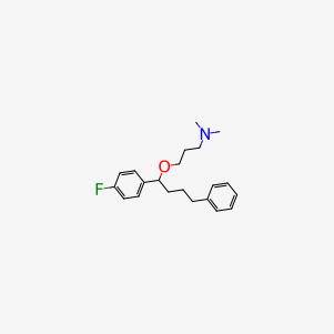 CN(C)CCCOC(CCCc1ccccc1)c1ccc(F)cc1